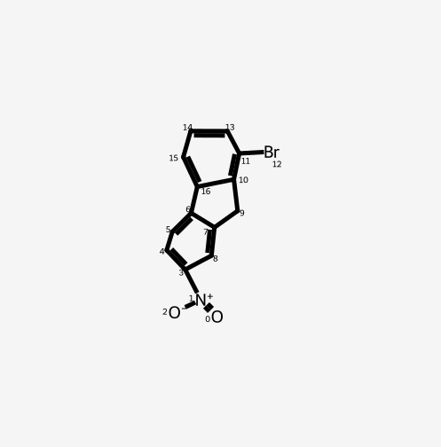 O=[N+]([O-])c1ccc2c(c1)Cc1c(Br)cccc1-2